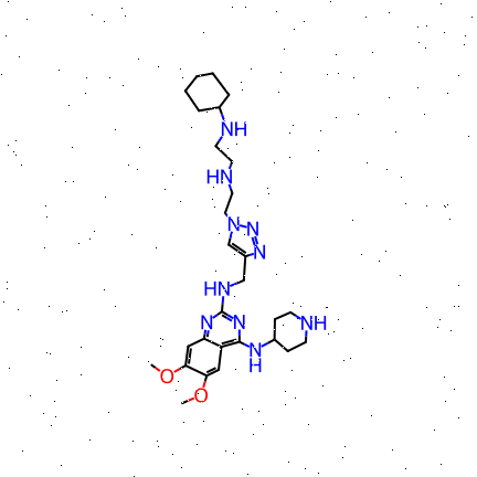 COc1cc2nc(NCc3cn(CCNCCNC4CCCCC4)nn3)nc(NC3CCNCC3)c2cc1OC